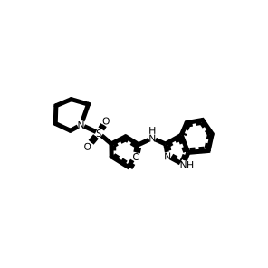 O=S(=O)(c1cccc(Nc2n[nH]c3ccccc23)c1)N1CCCCC1